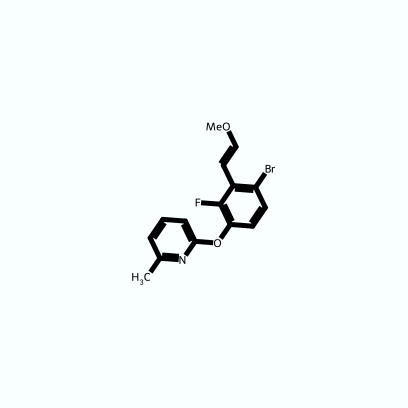 CO/C=C/c1c(Br)ccc(Oc2cccc(C)n2)c1F